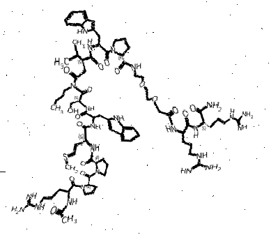 CCCCN(C(=O)C[C@H](C(=O)NC(Cc1cc2ccccc2[nH]1)C(=O)N1CCC[C@@H]1C(=O)NCCOCCOCC(=O)NC(CCCNC(=N)N)C(=O)N[C@@H](CCCNC(=N)N)C(N)=O)C(C)C)C(=O)[C@H](CO)NC(=O)C(Cc1cc2ccccc2[nH]1)NC(=O)[C@H](CCSC)NC(=O)[C@H]1CCCN1C(=O)[C@H]1CCCN1C(=O)C(CCCNC(=N)N)NC(C)=O